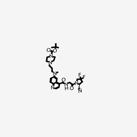 CN(CCCN1CCN(C(=O)OC(C)(C)C)CC1)c1ccc2nccc(C(=O)NCC(=O)N3CC(F)(F)C[C@H]3C#N)c2c1